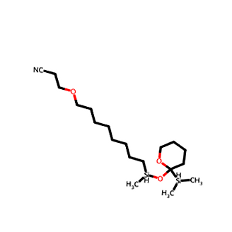 C[SiH](CCCCCCCCOCCC#N)OC1([SiH](C)C)CCCCO1